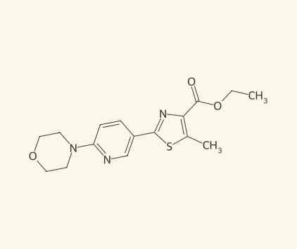 CCOC(=O)c1nc(-c2ccc(N3CCOCC3)nc2)sc1C